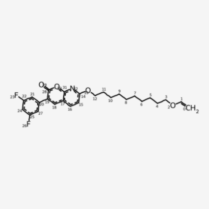 C=COCCCCCCCCCCOc1ccc2cc(-c3cc(F)cc(F)c3)c(=O)oc2n1